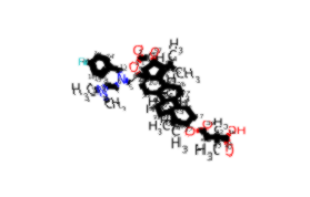 CC(=O)O[C@@H](CN(CCN(C)C)Cc1ccc(F)cc1)[C@@]12CC[C@]3(C)[C@H](CC[C@H]4[C@H]3CC[C@H]3C(C)(C)[C@@H](OC(=O)CC(C)(C)C(=O)O)CC[C@]43C)C1=C(C(C)C)C(=O)C2